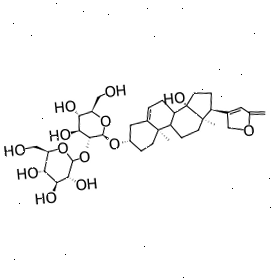 C=C1C=C([C@@H]2CC[C@]3(O)C4CC=C5C[C@@H](O[C@@H]6O[C@H](CO)[C@@H](O)[C@H](O)[C@H]6OC6O[C@H](CO)[C@@H](O)[C@H](O)[C@H]6O)CC[C@]5(C)C4CC[C@]23C)CO1